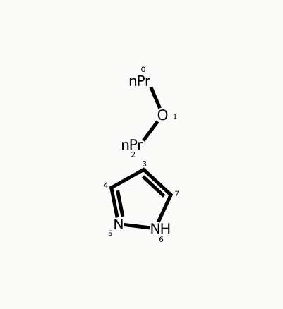 CCCOCCC.c1cn[nH]c1